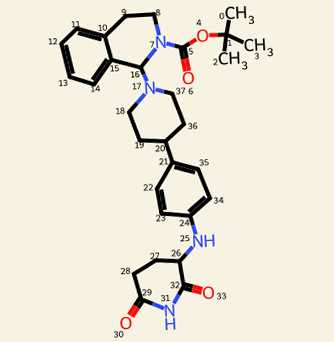 CC(C)(C)OC(=O)N1CCc2ccccc2C1N1CCC(c2ccc(NC3CCC(=O)NC3=O)cc2)CC1